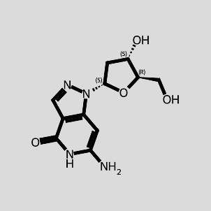 Nc1cc2c(cnn2[C@@H]2C[C@H](O)[C@@H](CO)O2)c(=O)[nH]1